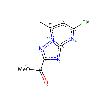 COC(=O)c1nc2nc(Cl)cc(C)n2n1